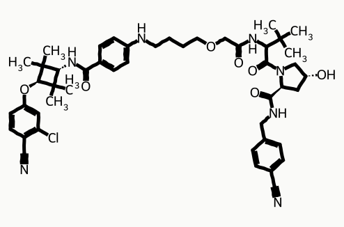 CC(C)(C)C(NC(=O)COCCCCNc1ccc(C(=O)N[C@H]2C(C)(C)[C@H](Oc3ccc(C#N)c(Cl)c3)C2(C)C)cc1)C(=O)N1C[C@H](O)C[C@H]1C(=O)NCc1ccc(C#N)cc1